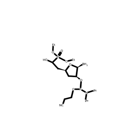 B[C@@H]1O[C@H](CC(O)P(=O)(OCC)OCC)C[C@@H]1OP(OCCC#N)N(C(C)C)C(C)C